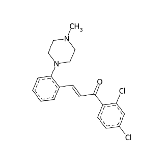 CN1CCN(c2ccccc2C=CC(=O)c2ccc(Cl)cc2Cl)CC1